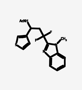 CC(=O)NC(CC(F)(F)c1nc2ccccc2n1C)c1ccsc1